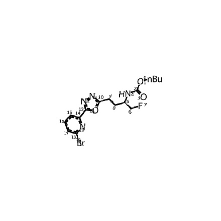 CCCCOC(=O)N[C@@H](CF)CCc1nnc(-c2cccc(Br)n2)o1